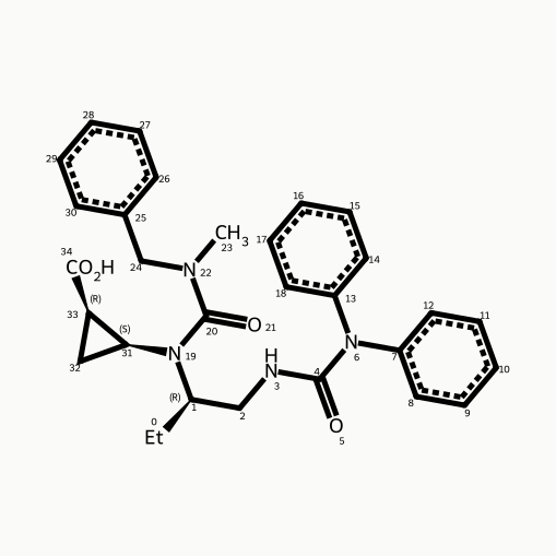 CC[C@H](CNC(=O)N(c1ccccc1)c1ccccc1)N(C(=O)N(C)Cc1ccccc1)[C@H]1C[C@H]1C(=O)O